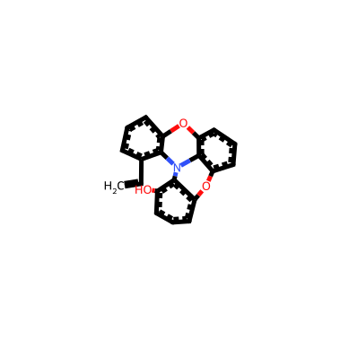 C=Cc1cccc2c1N1c3c(O)cccc3Oc3cccc(c31)O2